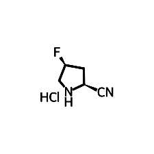 Cl.N#C[C@@H]1C[C@H](F)CN1